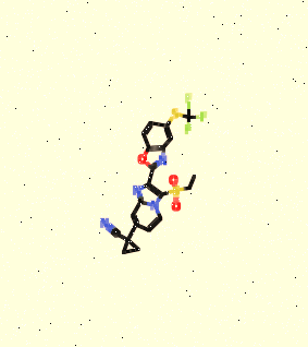 CCS(=O)(=O)c1c(-c2nc3cc(SC(F)(F)F)ccc3o2)nc2cc(C3(C#N)CC3)ccn12